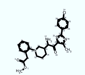 COC(=O)Cc1ccccc1N1CCCC(C(N)C(=O)c2sc(-c3ccc(Cl)cc3)nc2C)C1